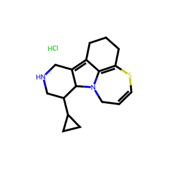 C1=CSC2=C3C(=C4CNCC(C5CC5)C4N3C1)CCC2.Cl